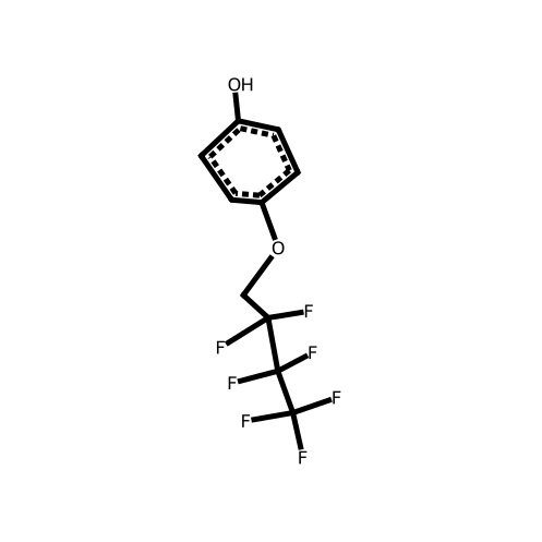 Oc1ccc(OCC(F)(F)C(F)(F)C(F)(F)F)cc1